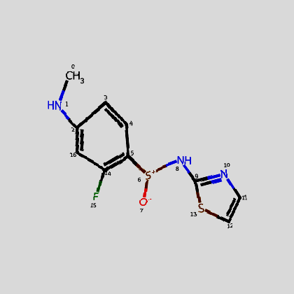 CNc1ccc([S+]([O-])Nc2nccs2)c(F)c1